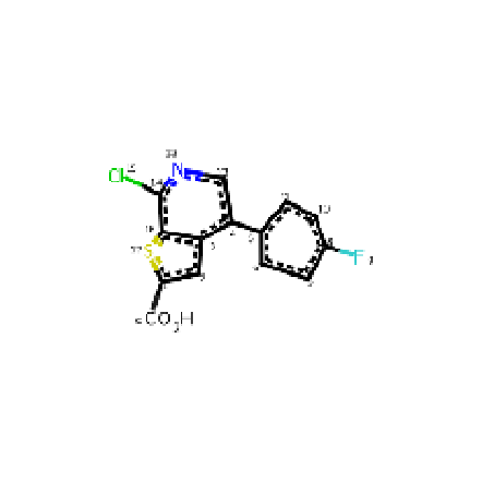 O=C(O)c1cc2c(-c3ccc(F)cc3)cnc(Cl)c2s1